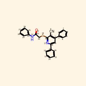 N#Cc1c(-c2ccccc2)cc(-c2ccccc2)nc1SCC(=O)Nc1ccccc1